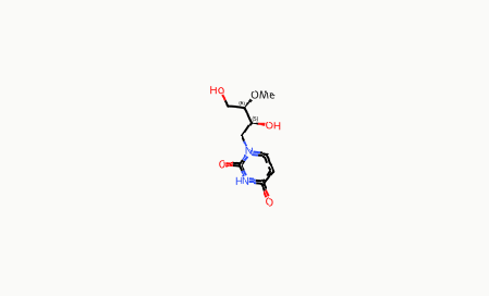 CO[C@H](CO)[C@@H](O)Cn1ccc(=O)[nH]c1=O